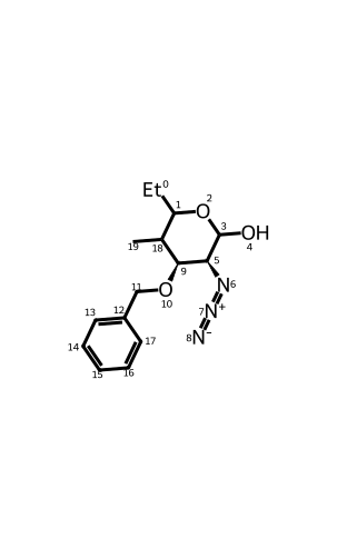 CCC1OC(O)[C@@H](N=[N+]=[N-])[C@@H](OCc2ccccc2)C1C